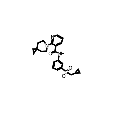 O=C(Nc1cccc(S(=O)(=O)CC2CC2)c1)c1cccnc1N1CCC2(CC1)CC2